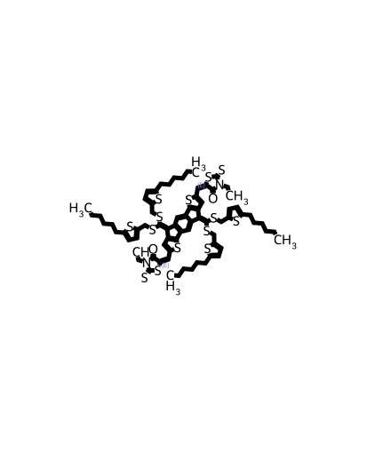 CCCCCCc1ccc(CSC(SCc2ccc(CCCCCC)s2)=C2c3cc4c(cc3-c3sc(/C=C5/SC(=S)N(CC)C5=O)cc32)C(=C(SCc2ccc(CCCCCC)s2)SCc2ccc(CCCCCC)s2)c2cc(/C=C3/SC(=S)N(CC)C3=O)sc2-4)s1